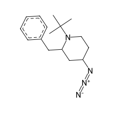 CC(C)(C)N1CCC(N=[N+]=[N-])CC1Cc1ccccc1